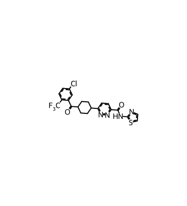 O=C(Nc1nccs1)c1ccc(C2CCC(C(=O)c3cc(Cl)ccc3C(F)(F)F)CC2)nn1